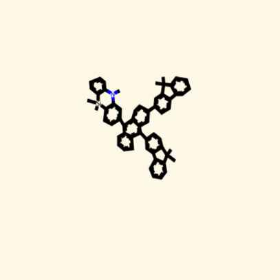 CN1c2ccccc2[Si](C)(C)c2ccc(-c3c4ccccc4c(-c4ccc5c(c4)-c4ccccc4C5(C)C)c4cc(-c5ccc6c(c5)C(C)(C)c5ccccc5-6)ccc34)cc21